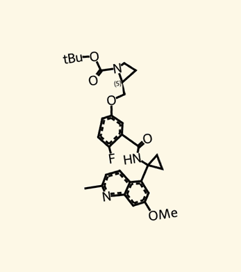 COc1cc(C2(NC(=O)c3cc(OC[C@@H]4CCN4C(=O)OC(C)(C)C)ccc3F)CC2)c2ccc(C)nc2c1